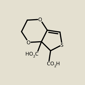 O=C(O)C1SC=C2OCCOC21C(=O)O